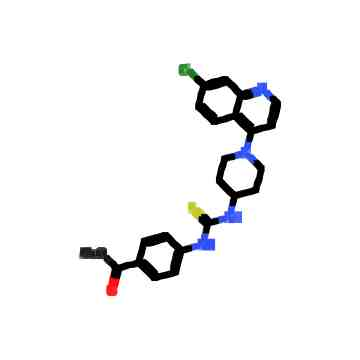 COC(=O)c1ccc(NC(=S)NC2CCN(c3ccnc4cc(Cl)ccc34)CC2)cc1